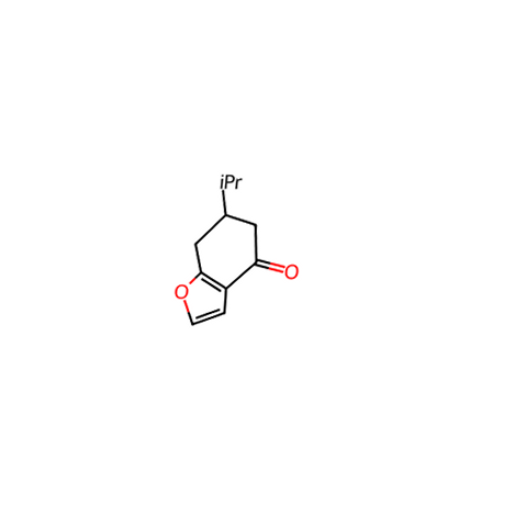 CC(C)C1CC(=O)c2ccoc2C1